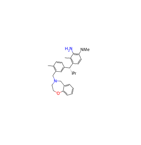 CNc1ccc([C@@H](c2ccc(C)c(CN3CCOc4ccccc4C3)c2)C(C)C)c(C)c1N